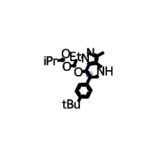 CCn1nc(C)c(C)c1/C(OC(C)OC(=O)C(C)C)=C(\C=N)c1ccc(C(C)(C)C)cc1